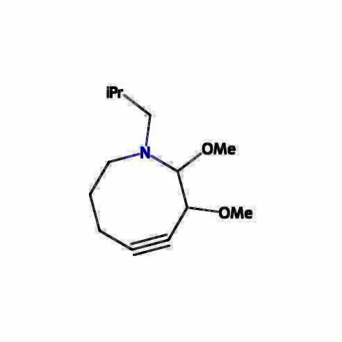 COC1C#CCCCN(CC(C)C)C1OC